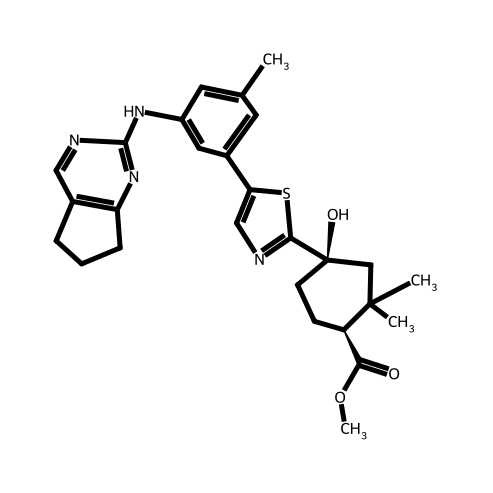 COC(=O)[C@H]1CC[C@](O)(c2ncc(-c3cc(C)cc(Nc4ncc5c(n4)CCC5)c3)s2)CC1(C)C